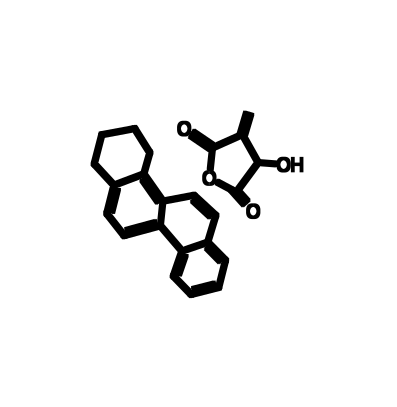 C=C1C(=O)OC(=O)C1O.c1ccc2c(c1)ccc1c3c(ccc12)CCCC3